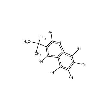 [2H]c1nc2c([2H])c([2H])c([2H])c([2H])c2c([2H])c1C(C)(C)C